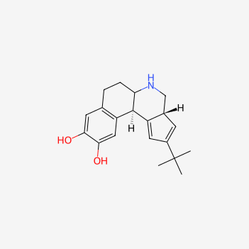 CC(C)(C)C1=C[C@H]2CNC3CCc4cc(O)c(O)cc4[C@@H]3C2=C1